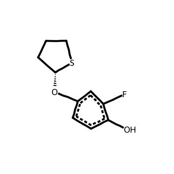 Oc1ccc(O[C@@H]2CCCS2)cc1F